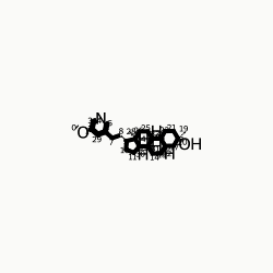 COc1cncc(CC[C@H]2CC[C@H]3[C@@H]4CC[C@@H]5C[C@](C)(O)CC[C@@H]5[C@H]4CC[C@]23C)c1